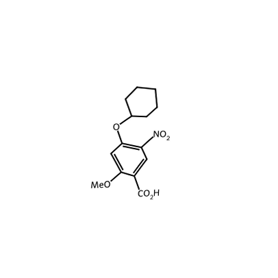 COc1cc(OC2CCCCC2)c([N+](=O)[O-])cc1C(=O)O